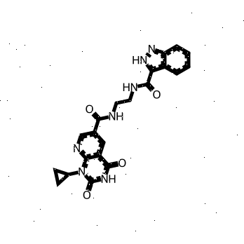 O=C(NCCNC(=O)c1[nH]nc2ccccc12)c1cnc2c(c1)c(=O)[nH]c(=O)n2C1CC1